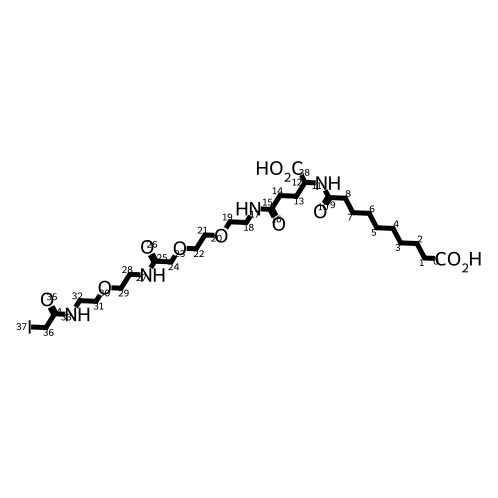 O=C(O)CCCCCCCCC(=O)NC(CCC(=O)NCCOCCOCC(=O)NCCOCCNC(=O)CI)C(=O)O